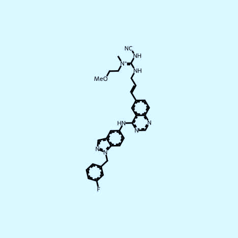 COCC[N+](C)=C(NC#N)NCC=Cc1ccc2ncnc(Nc3ccc4c(cnn4Cc4cccc(F)c4)c3)c2c1